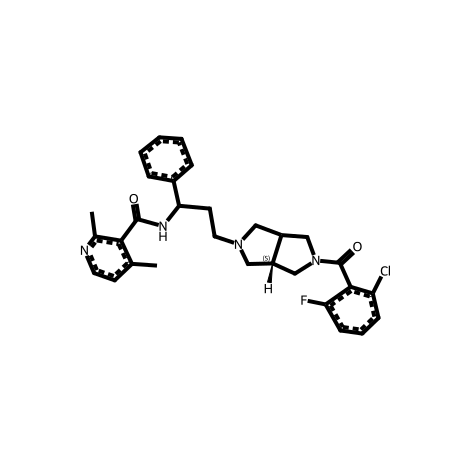 Cc1ccnc(C)c1C(=O)NC(CCN1CC2CN(C(=O)c3c(F)cccc3Cl)C[C@@H]2C1)c1ccccc1